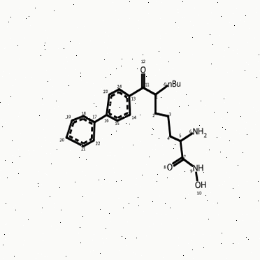 CCCCC(CCCC(N)C(=O)NO)C(=O)c1ccc(-c2ccccc2)cc1